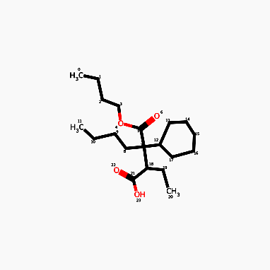 CCCCOC(=O)C(CCCC)(C1CCCCC1)C(CC)C(=O)O